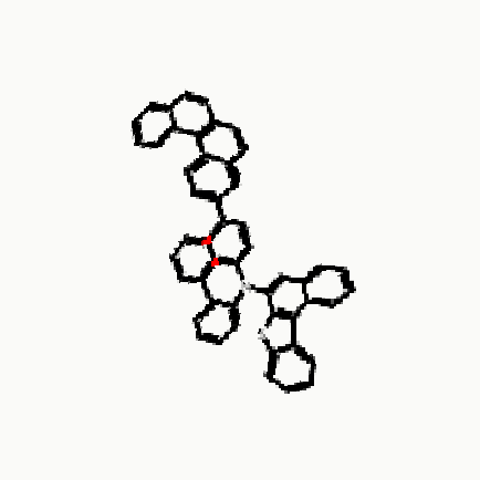 c1ccc(-c2ccccc2N(c2ccc(-c3ccc4c(ccc5ccc6ccccc6c54)c3)cc2)c2cc3ccccc3c3c2sc2ccccc23)cc1